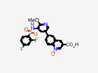 COc1ncc(-c2ccc3c(cc(C(=O)O)c[n+]3[O-])c2)cc1NS(=O)(=O)c1ccc(F)cc1F